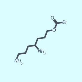 CCC(=O)OCCCC(N)CCCN